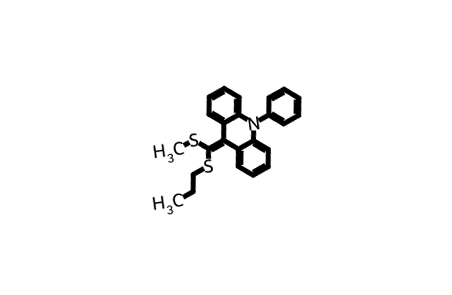 CCCSC(SC)=C1c2ccccc2N(c2ccccc2)c2ccccc21